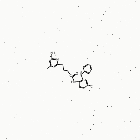 Cc1cc(N)nc(CCCCC(=O)Nc2ccc(Cl)cc2Nc2ccccc2)c1